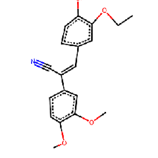 CCOc1cc(C=C(C#N)c2ccc(OC)c(OC)c2)ccc1O